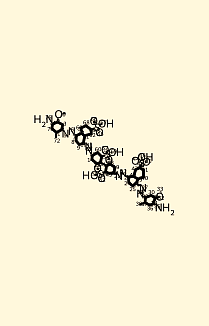 COc1cc(N=Nc2ccc(N=Nc3ccc(-c4ccc(N=Nc5ccc(N=Nc6cc(OC)c(N)cc6C)c6ccc(S(=O)(=O)O)cc56)cc4S(=O)(=O)O)c(S(=O)(=O)O)c3)c3cc(S(=O)(=O)O)ccc23)c(C)cc1N